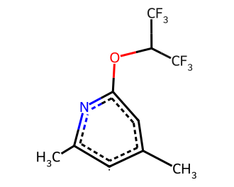 Cc1[c]c(C)nc(OC(C(F)(F)F)C(F)(F)F)c1